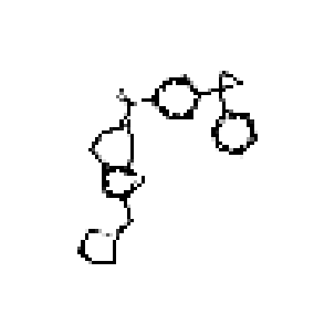 O=C(c1ccc(C2(c3ccccc3)CC2)cc1)N1CCc2cc(CN3CCCC3)oc2C1